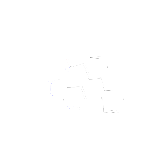 NC(=O)c1cccc(-c2ccccc2)c1-c1ccnc2n[nH]cc12